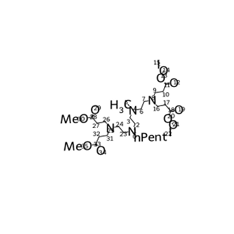 CCCCCN(CCN(C)CCN(CCC(=O)OOI)CCC(=O)OOI)CCN(CCC(=O)OC)CCC(=O)OC